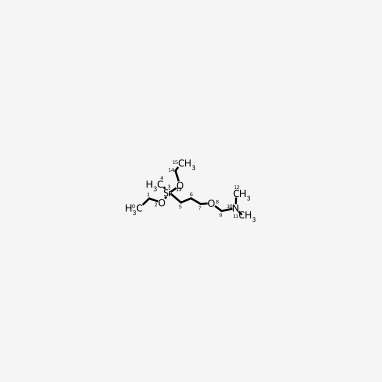 CCO[Si](C)(CCCOCN(C)C)OCC